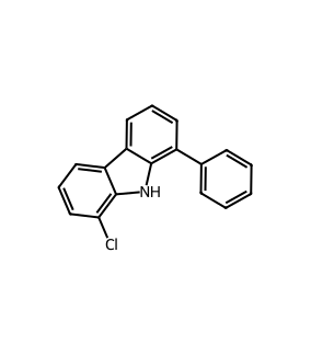 Clc1cccc2c1[nH]c1c(-c3ccccc3)cccc12